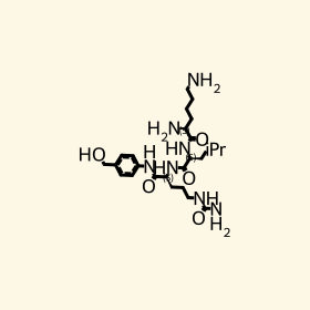 CC(C)C[C@H](NC(=O)[C@@H](N)CCCCN)C(=O)N[C@@H](CCCNC(N)=O)C(=O)Nc1ccc(CO)cc1